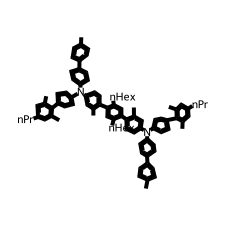 CCCCCCc1cc(-c2ccc(N(c3ccc(-c4ccc(C)cc4)cc3)c3ccc(-c4c(C)cc(CCC)cc4C)cc3)cc2C)c(CCCCCC)cc1-c1ccc(N(c2ccc(-c3ccc(C)cc3)cc2)c2ccc(-c3c(C)cc(CCC)cc3C)cc2)cc1C